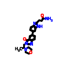 CC(Cn1cnc2ccc(-c3ccc4nc(CCC(N)=O)[nH]c4c3)cc2c1=O)N1CCOCC1